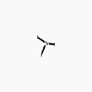 [I][Sn]([I])[I]